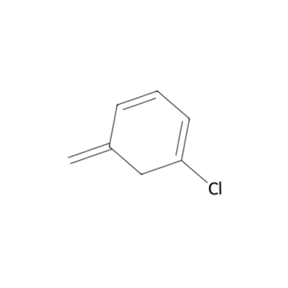 C=C1C=CC=C(Cl)C1